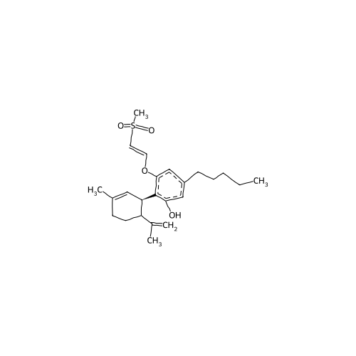 C=C(C)C1CCC(C)=C[C@H]1c1c(O)cc(CCCCC)cc1O/C=C/S(C)(=O)=O